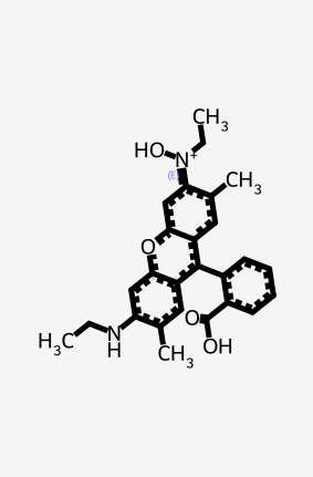 CCNc1cc2oc3c/c(=[N+](\O)CC)c(C)cc-3c(-c3ccccc3C(=O)O)c2cc1C